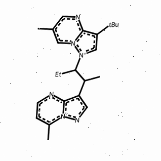 CCC(C(C)c1cnn2c(C)ccnc12)[n+]1cc(C(C)(C)C)c2ncc(C)cn21